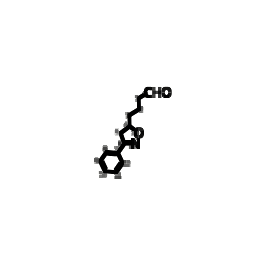 O=CCCCC1CC(c2ccccc2)=NO1